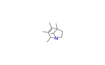 CC1=C(C)C2(C)CCN(C1C)C2C